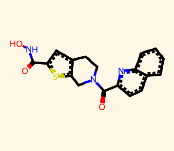 O=C(NO)c1cc2c(s1)CN(C(=O)c1ccc3ccccc3n1)CC2